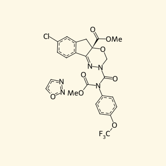 COC(=O)N(C(=O)N1CO[C@@]2(C(=O)OC)Cc3cc(Cl)ccc3C2=N1)c1ccc(OC(F)(F)F)cc1.c1conn1